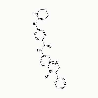 O=C(O)CC(c1ccccc1)[S+]([O-])c1ccc(NC(=O)c2ccc(NC3=CCCCN3)cc2)cc1